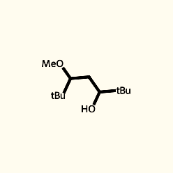 COC(CC(O)C(C)(C)C)C(C)(C)C